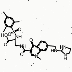 Cc1cc(C)c(S(=O)(=O)NC(CNC(=O)c2cn(C)c3cc(CNC4NCCN4)ccc3c2=O)C(=O)O)c(C)c1